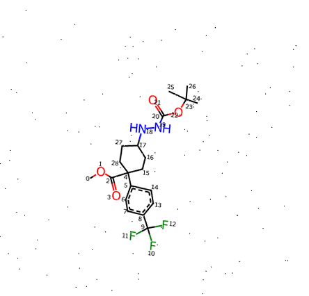 COC(=O)C1(c2ccc(C(F)(F)F)cc2)CCC(NNC(=O)OC(C)(C)C)CC1